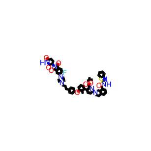 Cc1c(Oc2ccc(CCCN3CCN(c4cc5c(cc4F)C(=O)N(C4CCC(=O)NC4=O)C5=O)CC3)cc2)cccc1-c1ccc(N2CCc3cccc(C(=O)Nc4nc5ccccc5s4)c3C2)nc1C(=O)OC(C)(C)C